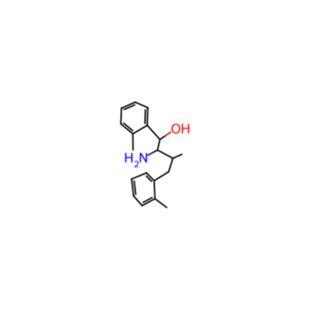 Cc1ccccc1CC(C)C(N)C(O)c1ccccc1C